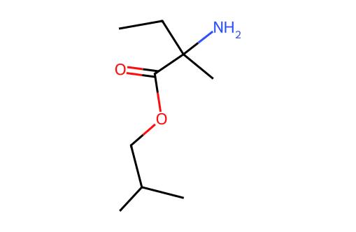 CCC(C)(N)C(=O)OCC(C)C